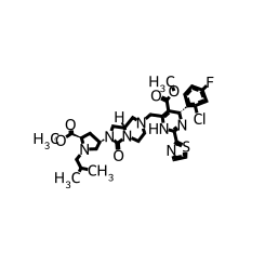 COC(=O)C1=C(CN2CCN3C(=O)N([C@H]4C[C@H](C(=O)OC)N(CC(C)C)C4)C[C@@H]3C2)NC(c2nccs2)=N[C@H]1c1ccc(F)cc1Cl